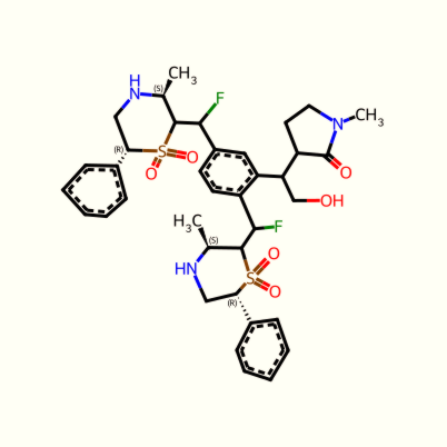 C[C@@H]1NC[C@@H](c2ccccc2)S(=O)(=O)C1C(F)c1ccc(C(F)C2[C@H](C)NC[C@@H](c3ccccc3)S2(=O)=O)c(C(CO)C2CCN(C)C2=O)c1